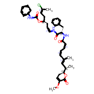 COC1=CC[C@@H]([C@@H](C)/C=C(C)/C=C\C=C/C(=O)N[C@@H](Cc2ccccc2)C(=O)N/C=C\C[C@H](C/C=C(\C)Cl)OC(=O)Nc2ccccc2)OC1=O